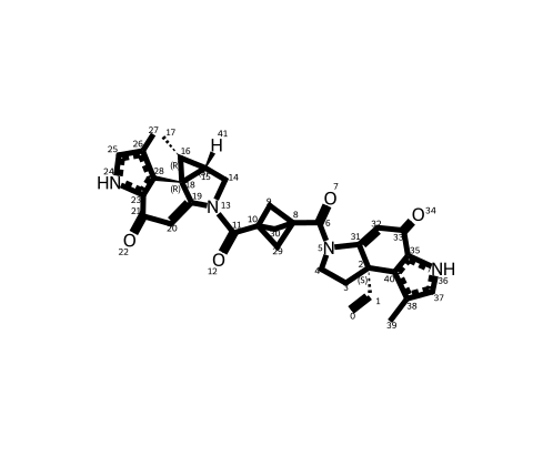 C=C[C@]12CCN(C(=O)C34CC(C(=O)N5C[C@H]6[C@@H](C)[C@@]67C5=CC(=O)c5[nH]cc(C)c57)(C3)C4)C1=CC(=O)c1[nH]cc(C)c12